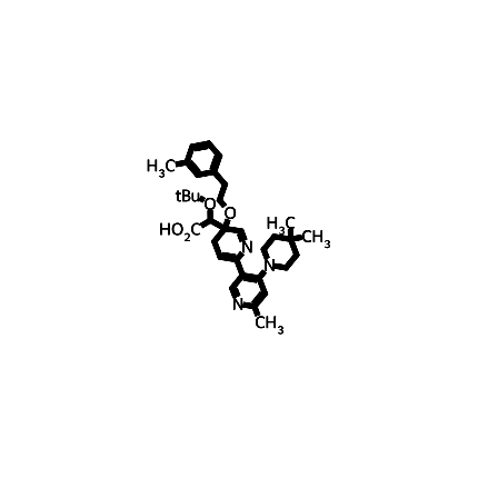 Cc1cccc(CCOC2(C(OC(C)(C)C)C(=O)O)C=NC(c3cnc(C)cc3N3CCC(C)(C)CC3)=CC2)c1